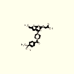 CCc1cc2c(N3CCN(C(=O)c4ccc(N(C)C)cc4)CC3)nc(SCC(=O)O)nc2s1